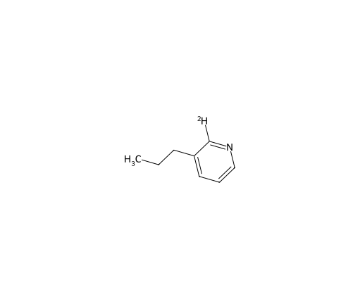 [2H]c1ncccc1CCC